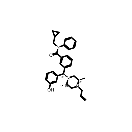 C=CCN1C[C@H](C)N([C@@H](c2cccc(O)c2)c2cccc(C(=O)N(CC3CC3)c3ccccc3)c2)C[C@H]1C